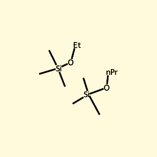 CCCO[Si](C)(C)C.CCO[Si](C)(C)C